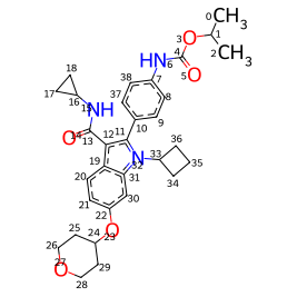 CC(C)OC(=O)Nc1ccc(-c2c(C(=O)NC3CC3)c3ccc(OC4CCOCC4)cc3n2C2CCC2)cc1